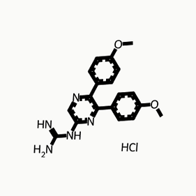 COc1ccc(-c2ncc(NC(=N)N)nc2-c2ccc(OC)cc2)cc1.Cl